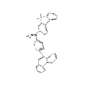 CC1(C)c2ccccc2-c2ccc(N(N)c3ccc(-c4cc5ccccc5c5ccccc45)cc3)cc21